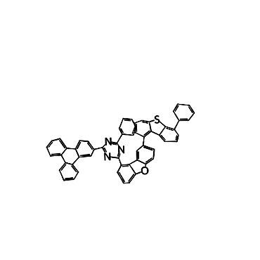 c1ccc(-c2nc(-c3ccc4c5ccccc5c5ccccc5c4c3)nc(-c3cccc4oc5ccc(-c6cccc7sc8c(-c9ccccc9)cccc8c67)cc5c34)n2)cc1